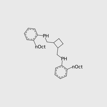 CCCCCCCCc1ccccc1PCC1CCC1CPc1ccccc1CCCCCCCC